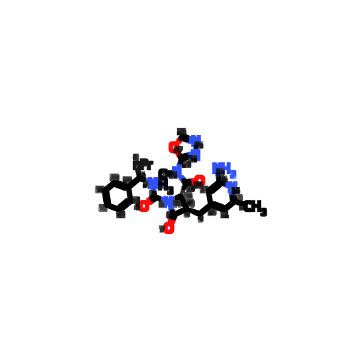 CCC[C@@H](NC(=O)N1C(=O)[C@H](Cc2cc(C)nc(N)c2)[C@H]1C(=O)N(C)c1nnco1)c1ccccc1